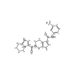 O=C(Nc1cccc(C(F)(F)F)c1)c1csc2c1CCN(C(=O)c1cnc3n1CCCC3)C2